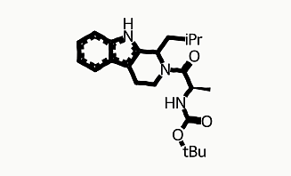 CC(C)CC1c2[nH]c3ccccc3c2CCN1C(=O)[C@@H](C)NC(=O)OC(C)(C)C